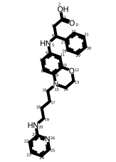 O=C(O)CC(Nc1ccc2c(c1)OCCN2CCCCNc1ccccn1)c1ccccc1